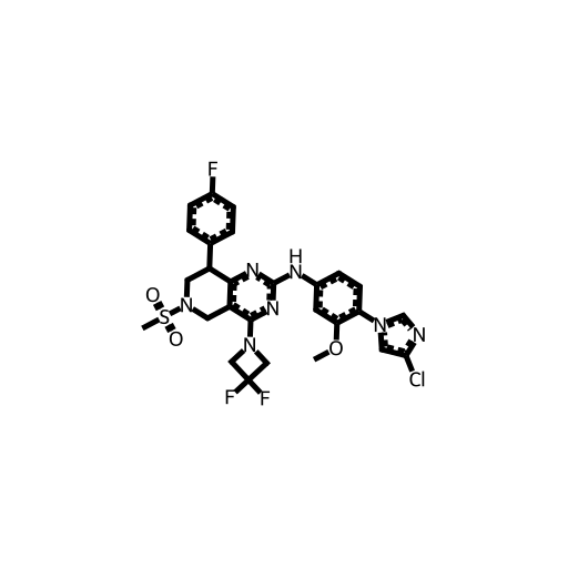 COc1cc(Nc2nc3c(c(N4CC(F)(F)C4)n2)CN(S(C)(=O)=O)CC3c2ccc(F)cc2)ccc1-n1cnc(Cl)c1